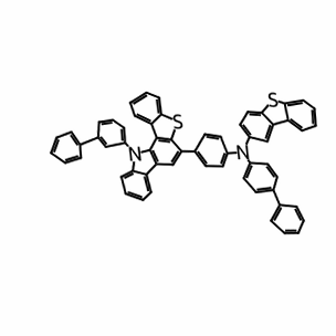 c1ccc(-c2ccc(N(c3ccc(-c4cc5c6ccccc6n(-c6cccc(-c7ccccc7)c6)c5c5c4sc4ccccc45)cc3)c3ccc4sc5ccccc5c4c3)cc2)cc1